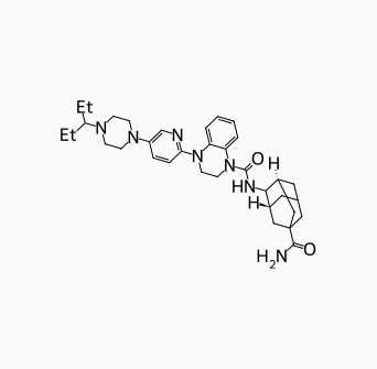 CCC(CC)N1CCN(c2ccc(N3CCN(C(=O)NC4[C@@H]5CC6C[C@H]4CC(C(N)=O)(C6)C5)c4ccccc43)nc2)CC1